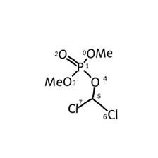 COP(=O)(OC)OC(Cl)Cl